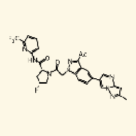 CC(=O)c1nn(CC(=O)N2C[C@H](F)C[C@H]2C(=O)Nc2cccc(C(F)(F)F)n2)c2ccc(-c3cnc4cc(C)nn4c3)cc12